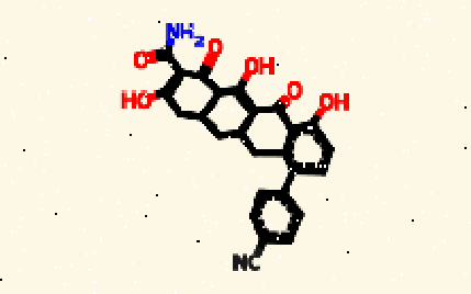 N#Cc1ccc(-c2ccc(O)c3c2CC2CC4CC(O)=C(C(N)=O)C(=O)C4C(O)=C2C3=O)cc1